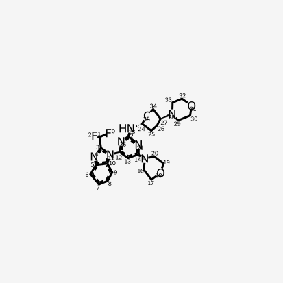 FC(F)c1nc2ccccc2n1-c1cc(N2CCOCC2)nc(N[C@H]2CC[C@H](N3CCOCC3)CC2)n1